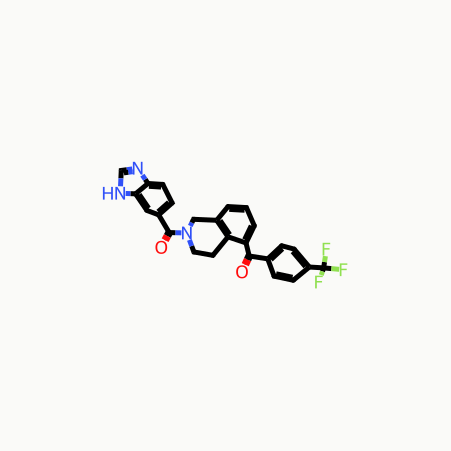 O=C(c1ccc(C(F)(F)F)cc1)c1cccc2c1CCN(C(=O)c1ccc3nc[nH]c3c1)C2